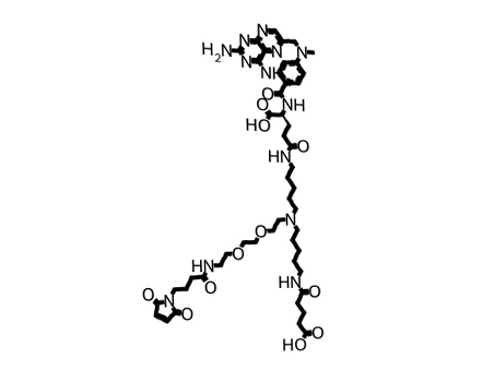 CN(Cc1cnc2nc(N)nc(N)c2n1)c1ccc(C(=O)N[C@@H](CCC(=O)NCCCCCN(CCCCCNC(=O)CCCC(=O)O)CCOCCOCCNC(=O)CCCN2C(=O)C=CC2=O)C(=O)O)cc1